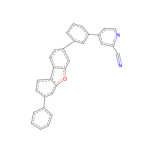 N#Cc1cc(-c2cccc(-c3ccc4c(c3)oc3cc(-c5ccccc5)ccc34)c2)ccn1